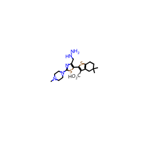 CN1CCN(c2nc(CNN)c(-c3sc4c(c3C(=O)O)CC(C)(C)CC4)s2)CC1